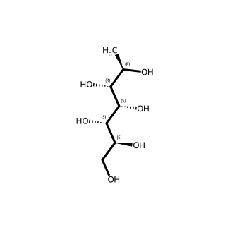 C[C@@H](O)[C@@H](O)[C@H](O)[C@@H](O)[C@@H](O)CO